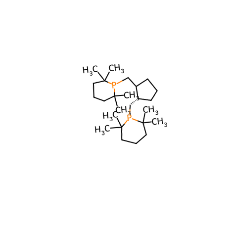 CC1(C)CCCC(C)(C)P1CC1CCC[C@@H]1CP1C(C)(C)CCCC1(C)C